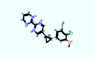 COc1cc([C@@H]2C[C@H]2c2cnc(-c3ncccn3)nc2)cc(F)c1Cl